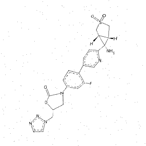 N[C@]1(c2ccc(-c3ccc(N4C[C@H](Cn5ccnn5)OC4=O)cc3F)cn2)[C@@H]2CS(=O)(=O)C[C@@H]21